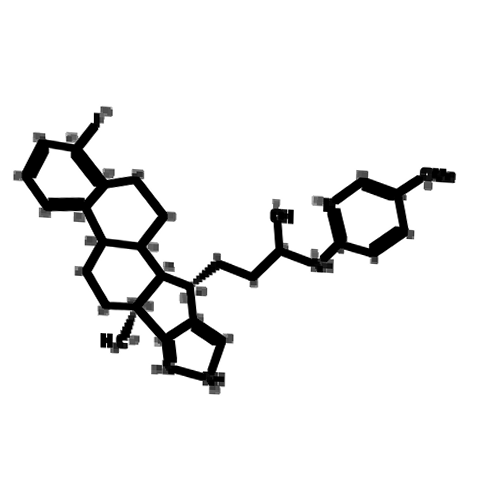 COc1ccc(NC(O)CC[C@@H]2c3c[nH]nc3[C@@]3(C)CCC4c5cccc(F)c5CCC4C23)nc1